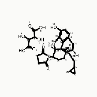 O=C(O)C(O)C(O)C(=O)O.O=C1CCC(=O)N1[C@@H]1CCC2(O)[C@H]3Cc4ccc(O)c5c4[C@@]2(CCN3CC2CC2)[C@H]1O5